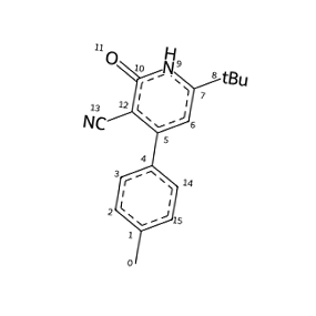 Cc1ccc(-c2cc(C(C)(C)C)[nH]c(=O)c2C#N)cc1